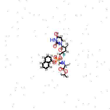 CC(C)OC(=O)[C@H](C)/N=C/P(=O)(OC[C@]1(F)C[C@H](C)[C@H](n2ccc(=O)[nH]c2=O)O1)Oc1cccc2ccccc12